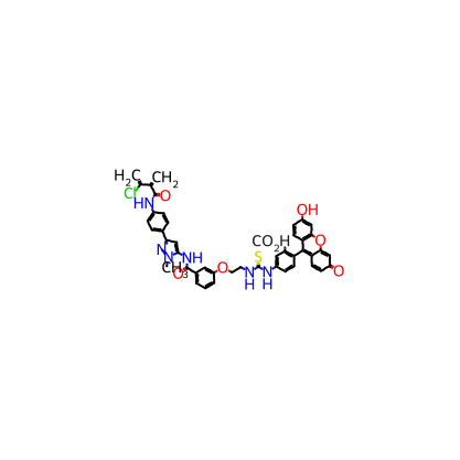 C=C(Cl)C(=C)C(=O)Nc1ccc(-c2cc(NC(=O)c3cccc(OCCNC(=S)Nc4ccc(-c5c6ccc(=O)cc-6oc6cc(O)ccc56)c(C(=O)O)c4)c3)n(C)n2)cc1